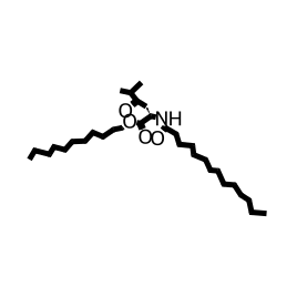 CCCCCCCCCCCCCC(=O)N[C@@H](CC(=O)C(C)C)C(=O)OCCCCCCCCCCC